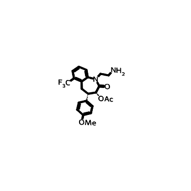 COc1ccc([C@@H]2Cc3c(cccc3C(F)(F)F)N(CCN)C(=O)[C@@H]2OC(C)=O)cc1